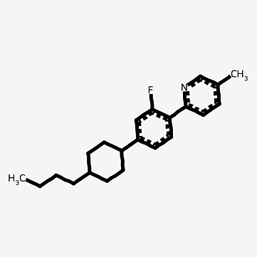 CCCCC1CCC(c2ccc(-c3ccc(C)cn3)c(F)c2)CC1